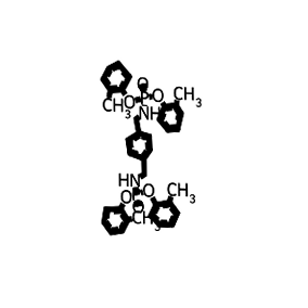 Cc1ccccc1OP(=O)(NCc1ccc(CNP(=O)(Oc2ccccc2C)Oc2ccccc2C)cc1)Oc1ccccc1C